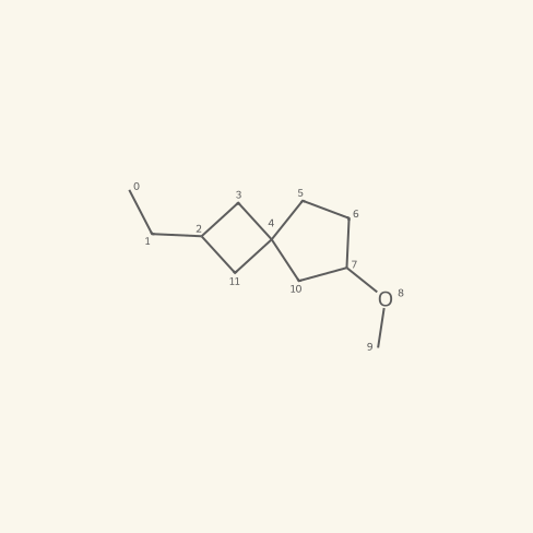 CCC1CC2(CCC(OC)C2)C1